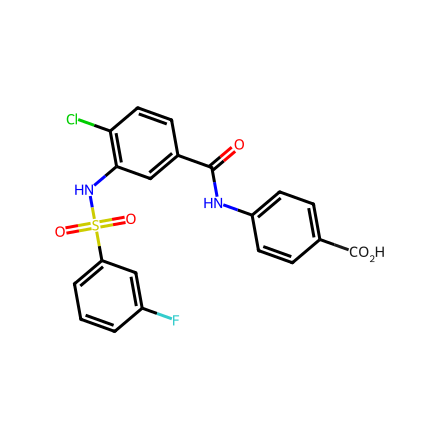 O=C(O)c1ccc(NC(=O)c2ccc(Cl)c(NS(=O)(=O)c3cccc(F)c3)c2)cc1